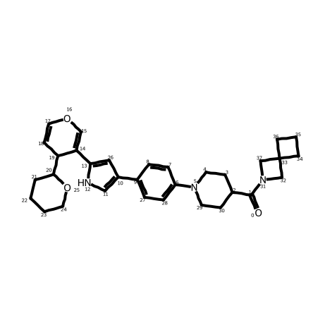 O=C(C1CCN(c2ccc(-c3c[nH]c(C4=COC=CC4C4CCCCO4)c3)cc2)CC1)N1CC2(CCC2)C1